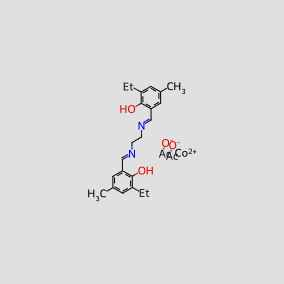 CC(=O)[O-].CC(=O)[O-].CCc1cc(C)cc(C=NCCN=Cc2cc(C)cc(CC)c2O)c1O.[Co+2]